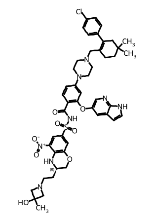 CC1(C)CCC(CN2CCN(c3ccc(C(=O)NS(=O)(=O)c4cc5c(c([N+](=O)[O-])c4)N[C@H](CCN4CC(C)(O)C4)CO5)c(Oc4cnc5[nH]ccc5c4)c3)CC2)=C(c2ccc(Cl)cc2)C1